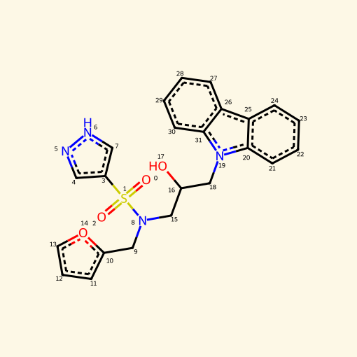 O=S(=O)(c1cn[nH]c1)N(Cc1ccco1)CC(O)Cn1c2ccccc2c2ccccc21